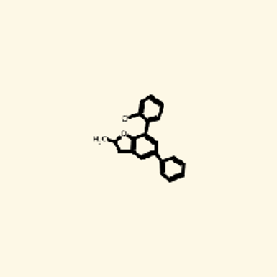 CC1Cc2cc(-c3ccccc3)cc(-c3ccccc3Cl)c2O1